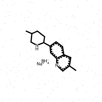 Cc1cnc2cc(C3CCC(C)CN3)ccc2c1.[BH4-].[Na+]